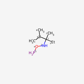 CCC(C)(NOP)B(C)C